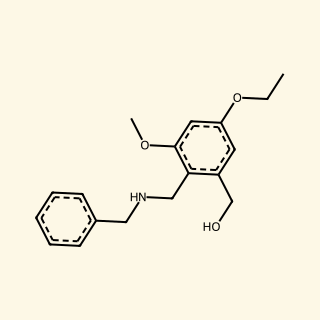 CCOc1cc(CO)c(CNCc2ccccc2)c(OC)c1